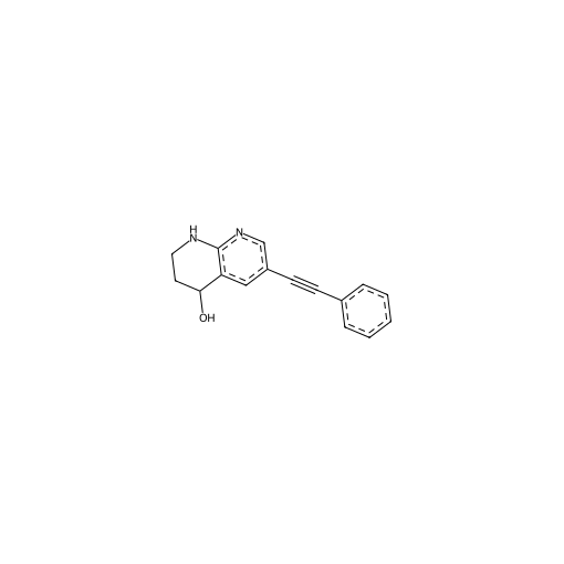 OC1CCNc2ncc(C#Cc3ccccc3)cc21